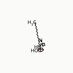 CCCCCCCCCCCCCCCC(NC12CC3CC(CC(O)(C3)C1)C2)N1CCC[C@H]1C#N